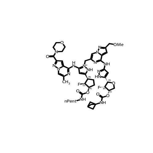 CCCCCNC(=O)O[C@@H]1CC[C@H](c2cc(Nc3nc(C)cn4nc(C(=O)N5CCOCC5)cc34)[n+](Cc3cn4nc(COC)cc4c(Nc4cc([C@@H]5OC[C@H](OC(=O)NC67CC(C6)C7)[C@@H]5F)[nH]n4)n3)[nH]2)[C@@H]1F